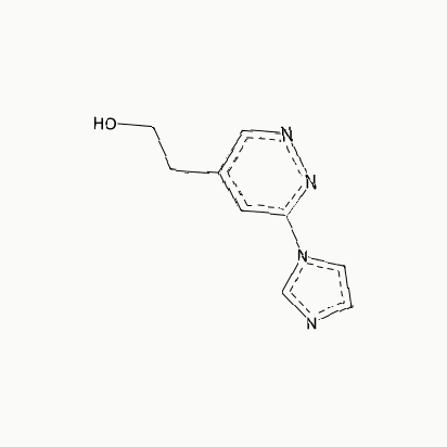 OCCc1cnnc(-n2ccnc2)c1